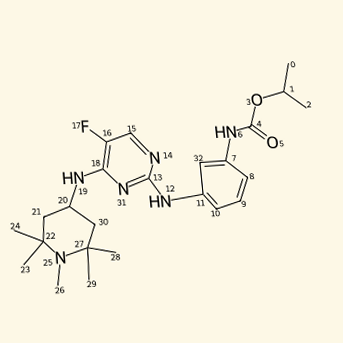 CC(C)OC(=O)Nc1cccc(Nc2ncc(F)c(NC3CC(C)(C)N(C)C(C)(C)C3)n2)c1